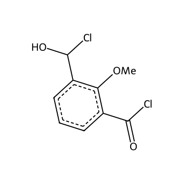 COc1c(C(=O)Cl)cccc1C(O)Cl